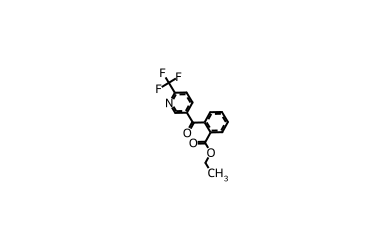 CCOC(=O)c1ccccc1C(=O)c1ccc(C(F)(F)F)nc1